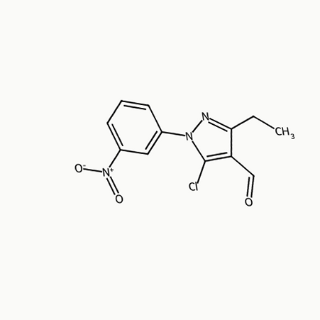 CCc1nn(-c2cccc([N+](=O)[O-])c2)c(Cl)c1C=O